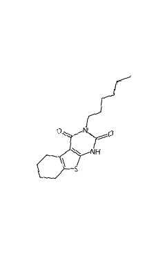 CCCCCCn1c(=O)[nH]c2sc3c(c2c1=O)CCCC3